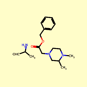 CC(N)[C]=O.CC1CN(CC(=O)OCc2ccccc2)CCN1C